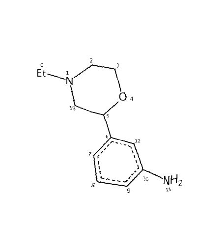 CCN1CCOC(c2cccc(N)c2)C1